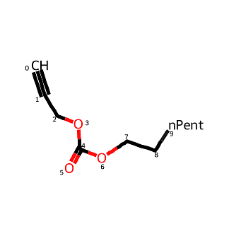 C#CCOC(=O)OCCCCCCC